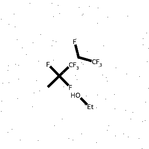 CC(F)(F)C(F)(F)F.CCO.FCC(F)(F)F